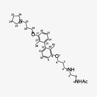 CC(=O)NCCNCCCOc1cccc(-c2cccc(OCCCN3CCCC3)c2C)c1C